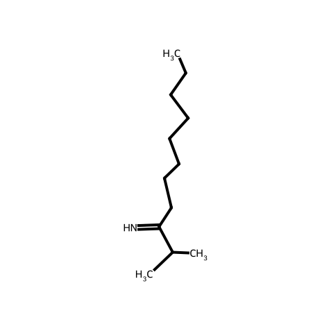 CCCCCCCCC(=N)C(C)C